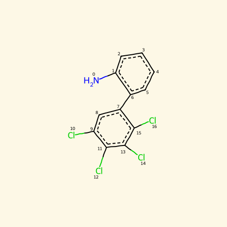 Nc1ccccc1-c1cc(Cl)c(Cl)c(Cl)c1Cl